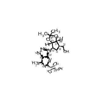 CCCS(=O)(=O)c1nc(N)c2nnn([C@@H]3C[C@H](CO)[C@H]4OC(C)(C)O[C@H]43)c2n1